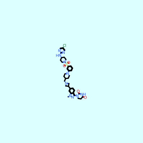 Cn1nc(N2CCC(=O)NC2=O)c2ccc(C3CN(CC4CCN(c5cccc(S(=O)(=O)N6CCC(Nc7ncc(Cl)cn7)CC6)c5)CC4)C3)cc21